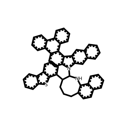 c1ccc2cc3c(cc2c1)c1c2c4ccccc4c4ccccc4c2ccc1n3C1Nc2c(ccc3ccccc23)CCCC1c1cccc2c1sc1ccccc12